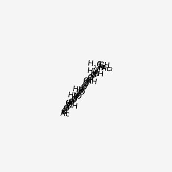 C=C(C)[C@H](CCCCNC(=O)COCCOCCNC(=O)COCCOCCNC(=O)CCCC(=O)NCCOCCOCC(=O)NCCOCCOCC(C)=O)NCC(C)=O